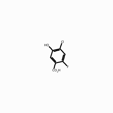 O=C(O)c1cc(O)c(Cl)cc1F